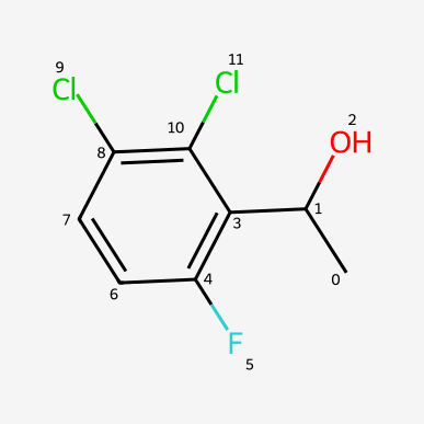 CC(O)c1c(F)ccc(Cl)c1Cl